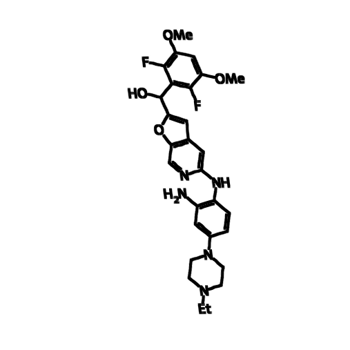 CCN1CCN(c2ccc(Nc3cc4cc(C(O)c5c(F)c(OC)cc(OC)c5F)oc4cn3)c(N)c2)CC1